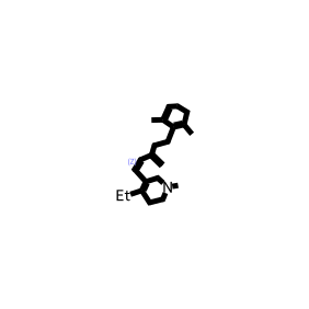 C=C(/C=C\C1=C(CC)CCN(C)C1)CCC1=C(C)CCC=C1C